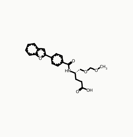 COCOC[C@H](CCC(=O)O)NC(=O)c1ccc(-c2cc3ccccc3o2)cc1